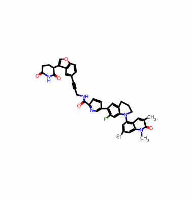 CCc1cc(N2CCCc3cc(-c4ccc(C(=O)NCC#Cc5ccc6occ(C7CCC(=O)NC7=O)c6c5)nc4)c(F)cc32)c2cc(C)c(=O)n(C)c2c1